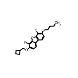 CCCCOc1ccc2c(oc3c(F)c(OCC4CCC4)ccc32)c1F